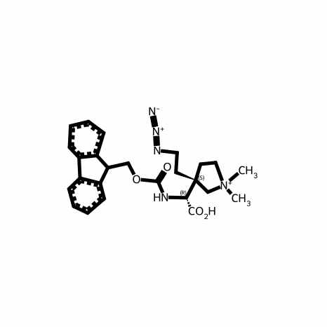 C[N+]1(C)CC[C@@](CCN=[N+]=[N-])([C@@H](NC(=O)OCC2c3ccccc3-c3ccccc32)C(=O)O)C1